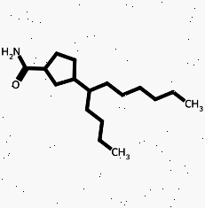 CCCCCCC(CCCC)C1CCC(C(N)=O)C1